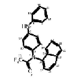 O=C(N(c1ccc(Nc2ccccc2)cc1)c1cccc2ccccc12)C(F)(F)F